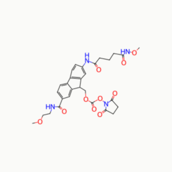 COCCNC(=O)c1ccc2c(c1)C(COC(=O)ON1C(=O)CCC1=O)c1cc(NC(=O)CCCC(=O)NOC)ccc1-2